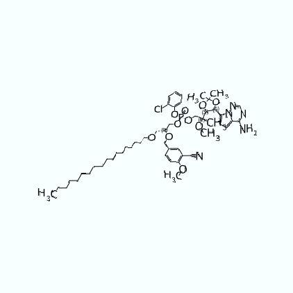 CCCCCCCCCCCCCCCCCCOC[C@H](COP(=O)(OC[C@@](C)(OC)[C@H]1OC(C)(C)O[C@H]1c1ccc2c(N)ncnn12)Oc1ccccc1Cl)OCc1ccc(OC)c(C#N)c1